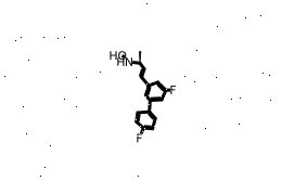 C[C@@H](/C=C/c1cc(F)cc(-c2ccc(F)cc2)c1)NO